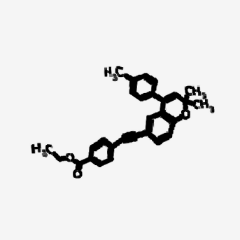 CCOC(=O)c1ccc(C#Cc2ccc3c(c2)C(c2ccc(C)cc2)=CC(C)(C)O3)cc1